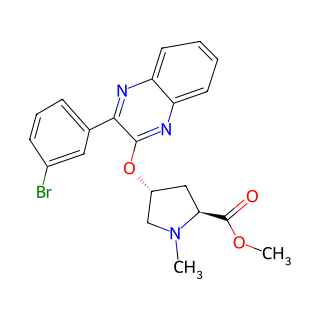 COC(=O)[C@@H]1C[C@@H](Oc2nc3ccccc3nc2-c2cccc(Br)c2)CN1C